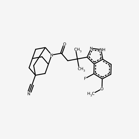 COc1ccc2[nH]nc(C(C)(C)CC(=O)N3C4CC5CC3CC(C#N)(C5)C4)c2c1F